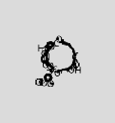 CO[C@H]1CC2CC[C@@H](C)C(O)(O2)C(=O)C(=O)N2CCCCC2C(=O)O[C@H]([C@H](C)C[C@@H]2CC[C@@H](OP(C)(C)=O)[C@H](OC)C2)CC(=O)[C@H](C)/C=C(\C)[C@@H](O)[C@@H](OC)C(=O)[C@H](C)C[C@H](C)/C=C/C=C/C=C/1C